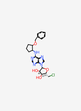 O[C@@H]1[C@@H](CCl)OC(n2cnc3c(NC4CCCC4OCc4ccccc4)ncnc32)[C@@H]1O